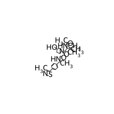 CC(=O)NC(C(=O)N1C[C@H](O)C[C@H]1C(=O)N[C@@H](C)c1ccc(-c2scnc2C)cc1)C(C)(C)C